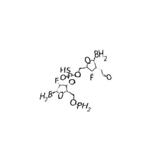 B[C@@H]1O[C@H](COP)[C@@H](OP(=O)(S)OC[C@H]2O[C@@H](B)[C@H](CC=O)[C@H]2F)[C@H]1F